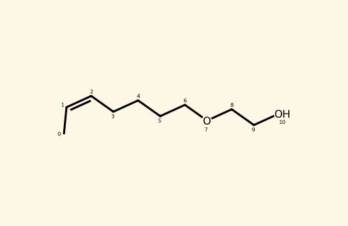 C/C=C\CCCCOCCO